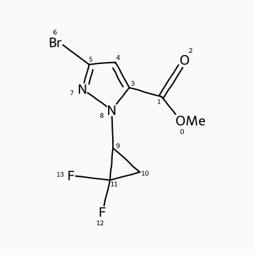 COC(=O)c1cc(Br)nn1C1CC1(F)F